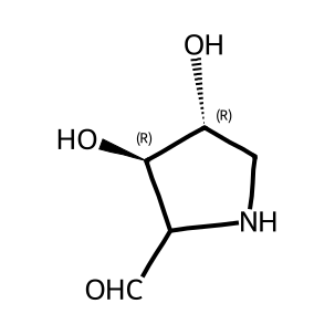 O=CC1NC[C@@H](O)[C@@H]1O